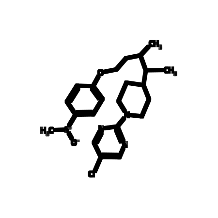 CC(CCOc1ccc([S+](C)[O-])cc1)C(C)C1CCN(c2ncc(Cl)cn2)CC1